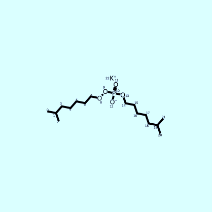 CC(C)CCCCCOOP(=O)([O-])OCCCCCC(C)C.[K+]